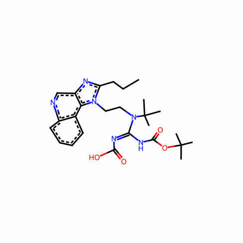 CCCc1nc2cnc3ccccc3c2n1CCN(C(=NC(=O)O)NC(=O)OC(C)(C)C)C(C)(C)C